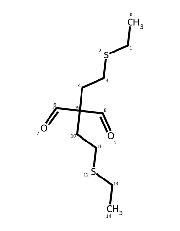 CCSCCC([C]=O)(C=O)CCSCC